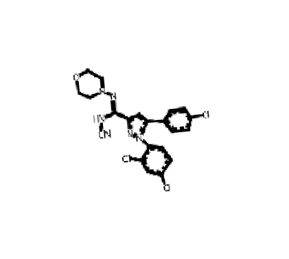 N#CNC(=NN1CCOCC1)c1cc(-c2ccc(Cl)cc2)n(-c2ccc(Cl)cc2Cl)n1